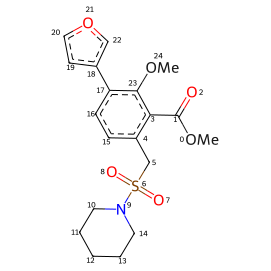 COC(=O)c1c(CS(=O)(=O)N2CCCCC2)ccc(-c2ccoc2)c1OC